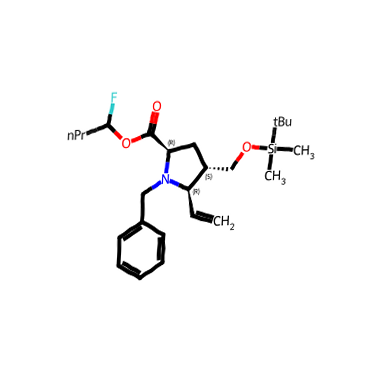 C=C[C@@H]1[C@@H](CO[Si](C)(C)C(C)(C)C)C[C@H](C(=O)OC(F)CCC)N1Cc1ccccc1